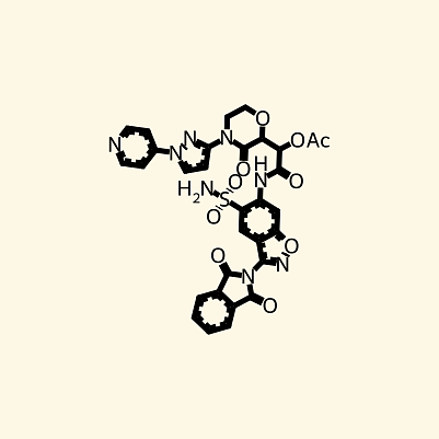 CC(=O)OC(C(=O)Nc1cc2onc(N3C(=O)c4ccccc4C3=O)c2cc1S(N)(=O)=O)C1OCCN(c2ccn(-c3ccncc3)n2)C1=O